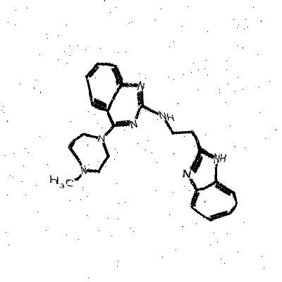 CN1CCN(c2nc(NCCc3nc4ccccc4[nH]3)nc3ccccc23)CC1